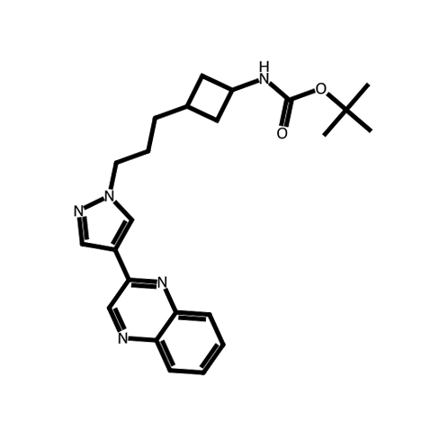 CC(C)(C)OC(=O)NC1CC(CCCn2cc(-c3cnc4ccccc4n3)cn2)C1